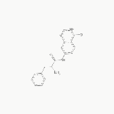 N[C@H](Cc1ccccc1)C(=O)Nc1ccc2c(=O)[nH]cnc2c1